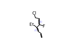 C=C/C=C(CC)\C(F)=C/CCl